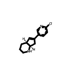 Clc1ccc(C2=C[C@@H]3CCCN[C@@H]3C2)cn1